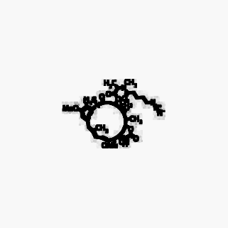 COc1cc2cc(c1Cl)N(C)C(=O)CC(OC(=O)C(C)N(C)C(=O)CCCCN=[N+]=[N-])C1(C)OC1C(C)C1CC(O)(NC(=O)O1)C(OC)/C=C/C=C(\C)C2